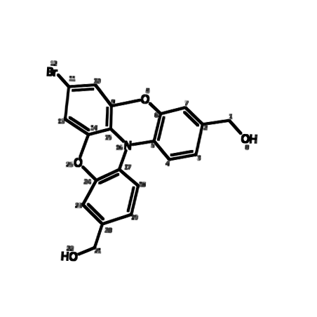 OCc1ccc2c(c1)Oc1cc(Br)cc3c1N2c1ccc(CO)cc1O3